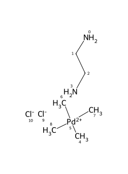 NCCN.[CH3][Pd+2]([CH3])([CH3])[CH3].[Cl-].[Cl-]